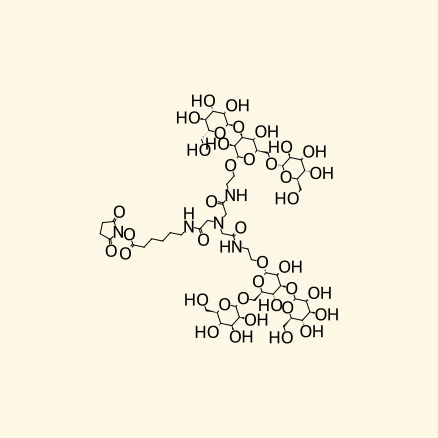 O=C(CN(CC(=O)NCCO[C@H]1O[C@H](CO[C@H]2O[C@H](CO)[C@@H](O)[C@H](O)[C@@H]2O)[C@@H](O)[C@H](OC2O[C@H](CO)[C@@H](O)[C@H](O)[C@@H]2O)[C@@H]1O)CC(=O)NCCO[C@H]1O[C@H](CO[C@H]2O[C@H](CO)[C@@H](O)[C@H](O)[C@@H]2O)[C@@H](O)[C@H](O[C@H]2O[C@H](CO)[C@@H](O)[C@H](O)[C@@H]2O)[C@@H]1O)NCCCCCC(=O)ON1C(=O)CCC1=O